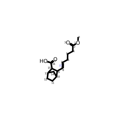 COC(=O)CCC/C=C/C1C2CCC(C2)C1C(=O)O